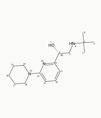 CC(C)(C)NC[C@@H](O)c1cccc(N2CCCCC2)n1